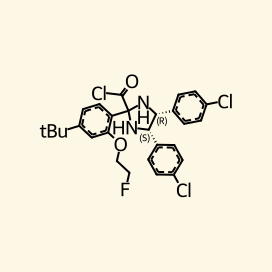 CC(C)(C)c1ccc(C2(C(=O)Cl)N[C@H](c3ccc(Cl)cc3)[C@H](c3ccc(Cl)cc3)N2)c(OCCF)c1